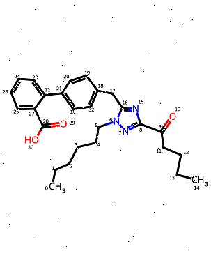 CCCCCCn1nc(C(=O)CCCC)nc1Cc1ccc(-c2ccccc2C(=O)O)cc1